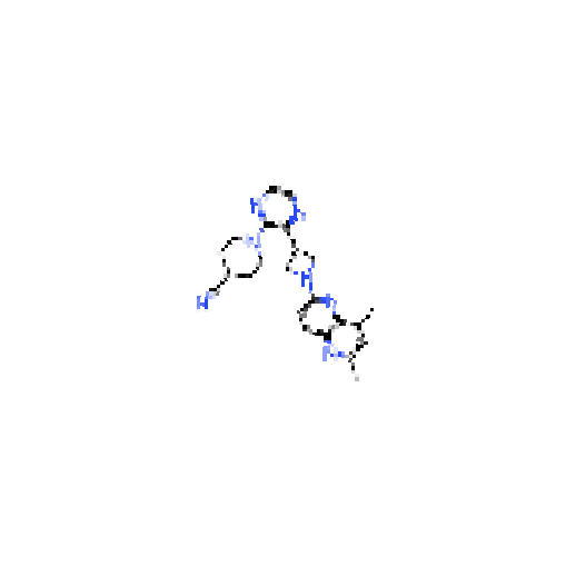 Cc1cc(C)c2nc(N3CC(c4nccnc4N4CCC(C#N)CC4)C3)ccc2n1